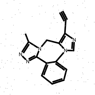 C#Cc1ncn2c1Cn1c(C)nnc1-c1ccccc1-2